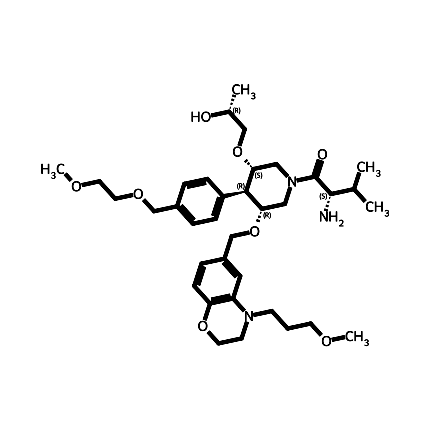 COCCCN1CCOc2ccc(CO[C@H]3CN(C(=O)[C@@H](N)C(C)C)C[C@@H](OC[C@@H](C)O)[C@@H]3c3ccc(COCCOC)cc3)cc21